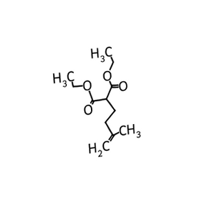 C=C(C)CCC(C(=O)OCC)C(=O)OCC